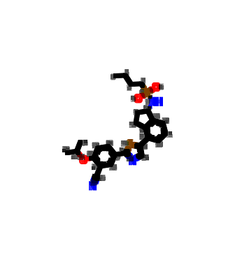 CCCCS(=O)(=O)N[C@H]1CCc2c(-c3cnc(-c4ccc(OC(C)C)c(C#N)c4)s3)cccc21